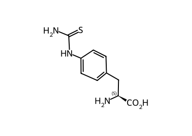 NC(=S)Nc1ccc(C[C@H](N)C(=O)O)cc1